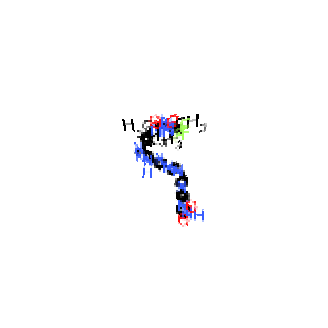 Cc1cc(-c2ncnc3[nH]c(-c4ccc(N5CCN(CC6CCN(c7ccc(N8CCC(=O)NC8=O)cc7)CC6)CC5)cn4)cc23)ccc1[C@@H](C)NC(=O)c1noc(C(C)(C)C(F)(F)F)n1